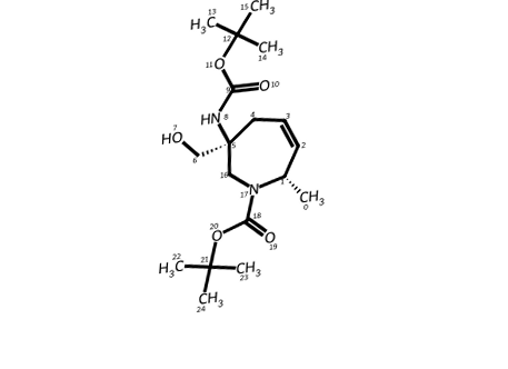 C[C@H]1C=CC[C@](CO)(NC(=O)OC(C)(C)C)CN1C(=O)OC(C)(C)C